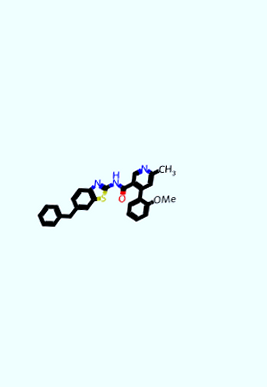 COc1ccccc1-c1cc(C)ncc1C(=O)Nc1nc2ccc(Cc3ccccc3)cc2s1